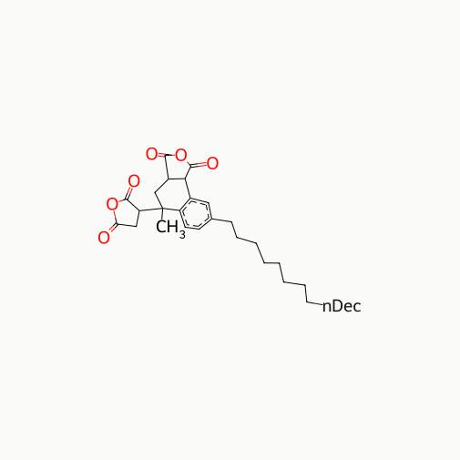 CCCCCCCCCCCCCCCCCCc1ccc2c(c1)C1C(=O)OC(=O)C1CC2(C)C1CC(=O)OC1=O